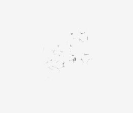 CSc1ccnc2c(C3(OC(C)=O)O[C@H](COC(=O)c4ccccc4)[C@@H](OC(=O)c4ccccc4)[C@@]3(C)F)scc12